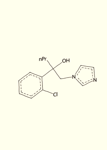 CCCC(O)(Cn1ccnc1)c1ccccc1Cl